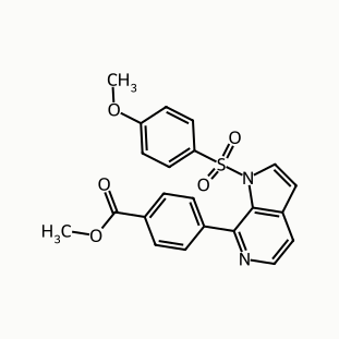 COC(=O)c1ccc(-c2nccc3ccn(S(=O)(=O)c4ccc(OC)cc4)c23)cc1